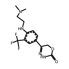 CN(C)CCNc1ccc(C2=NNC(=O)OC2)cc1C(F)(F)F